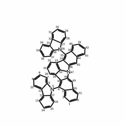 c1ccc2c(-n3c4ccccc4c4ccccc43)c3c4cccc5c6c(-n7c8ccccc8c8ccccc87)c7ccccc7cc6n(c3cc2c1)c45